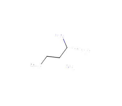 COCC[C@H](N)C(=O)O.N